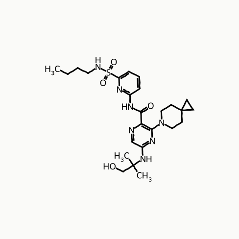 CCCCNS(=O)(=O)c1cccc(NC(=O)c2ncc(NC(C)(C)CO)nc2N2CCC3(CC2)CC3)n1